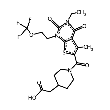 CCn1c(=O)c2c(C)c(C(=O)N3CCC(CC(=O)O)CC3)sc2n(CCOC(F)(F)F)c1=O